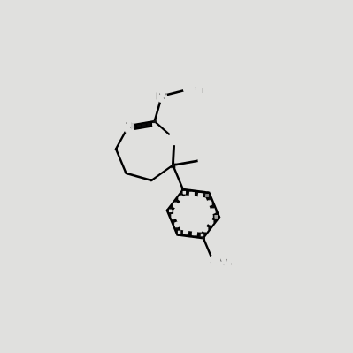 COc1ccc(C2(C)CCCN=C(NC(C)(C)C)S2)cc1